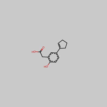 O=C(O)Cc1cc(C2=CCCC2)ccc1O